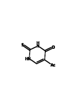 CC(=O)c1c[nH]c(=S)[nH]c1=O